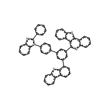 c1ccc(-c2nc3ccccc3n2-c2ccc(-c3cc(-c4cccc5c4sc4ccccc45)cc(-c4nc5ccccc5c5sc6ccccc6c45)c3)cc2)cc1